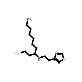 CCCCCCCC(CCC)NCCc1cscn1